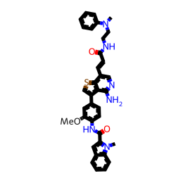 COc1cc(-c2csc3c(C=CC(=O)NCCN(C)c4ccccc4)cnc(N)c23)ccc1NC(=O)c1cc2ccccc2n1C